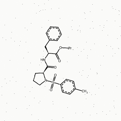 Cc1ccc(S(=O)(=O)N2CCC[C@H]2C(=O)N[C@@H](Cc2ccccc2)C(=O)OC(C)C)cc1